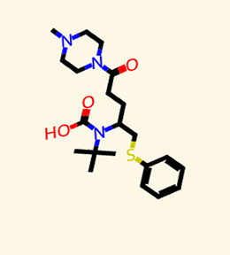 CN1CCN(C(=O)CCC(CSc2ccccc2)N(C(=O)O)C(C)(C)C)CC1